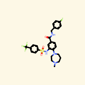 CN1CCCN(c2ccc(C(=O)NCc3ccc(F)cc3)cc2NS(=O)(=O)c2ccc(C(F)(F)F)cc2)CC1